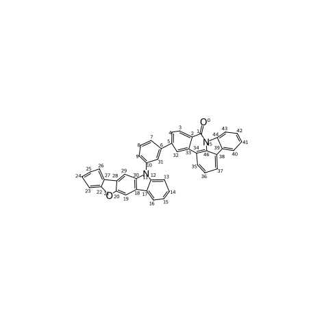 O=c1c2ccc(-c3cccc(-n4c5ccccc5c5cc6oc7ccccc7c6cc54)c3)cc2c2cccc3c4ccccc4n1c23